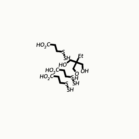 CCC(CO)(CO)CO.O=C(O)CCSS.O=C(O)CCSS.O=C(O)CCSS